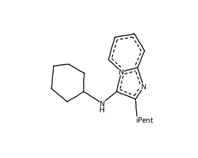 CCCC(C)c1nc2ccccn2c1NC1CCCCC1